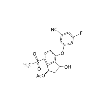 CC(=O)O[C@@H]1CC(O)c2c(Oc3cc(F)cc(C#N)c3)ccc(S(C)(=O)=O)c21